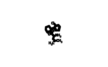 CC(C)CC(N)C1=NC2(c3ccccc3Cl)CCCC(O1)C2=O